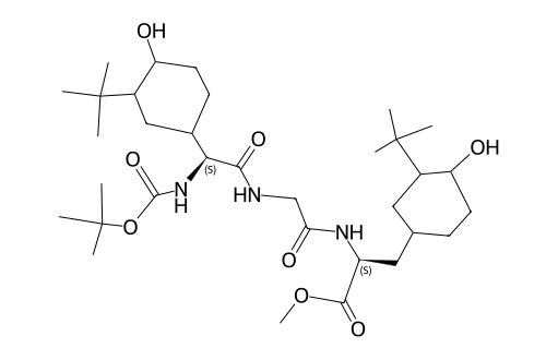 COC(=O)[C@H](CC1CCC(O)C(C(C)(C)C)C1)NC(=O)CNC(=O)[C@@H](NC(=O)OC(C)(C)C)C1CCC(O)C(C(C)(C)C)C1